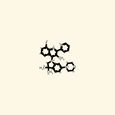 Cc1c(-c2ccccn2)nc2c(F)cccc2c1N1CC(C)(C)c2ccc(N3CCOCC3)cc21